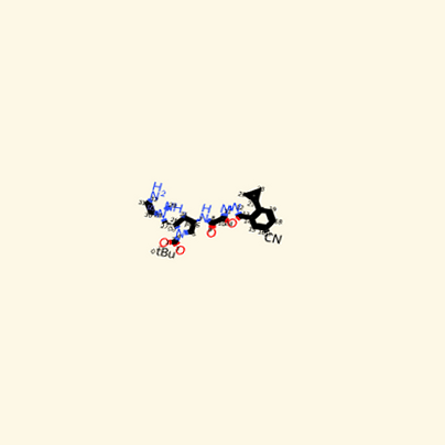 CC(C)(C)OC(=O)N1C[C@H](NC(=O)c2nnc(-c3cc(C#N)ccc3C3CC3)o2)C[C@H]1CN(N)/C=C\N